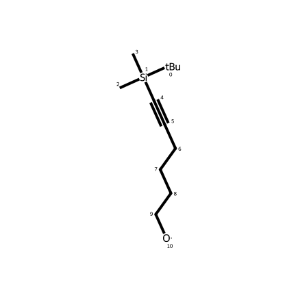 CC(C)(C)[Si](C)(C)C#CCCCC[O]